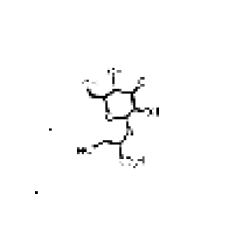 O=C(O)[C@@H](CO)O[C@H]1OC(CO)[C@@H](O)C(O)C1O